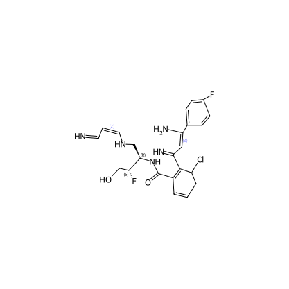 N=C/C=C\NC[C@@H](NC(=O)C1=C(C(=N)/C=C(\N)c2ccc(F)cc2)C(Cl)CC=C1)[C@H](F)CO